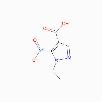 CCn1ncc(C(=O)O)c1[N+](=O)[O-]